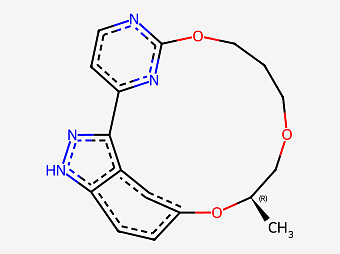 C[C@@H]1COCCCOc2nccc(n2)-c2n[nH]c3ccc(cc23)O1